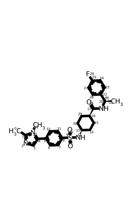 Cc1ncc(-c2ccc(S(=O)(=O)N[C@H]3CC[C@H](C(=O)N[C@H](C)c4ccc(F)cc4)CC3)cc2)n1C